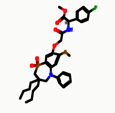 CCCCC1(CCCC)CN(c2ccccc2)c2cc(SC)c(OCC(=O)N[C@@H](C(=O)OC)c3ccc(F)cc3)cc2S(=O)(=O)C1